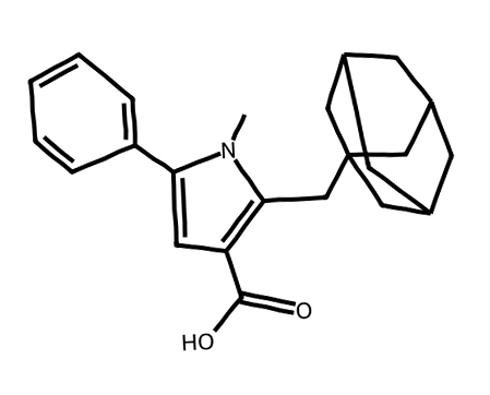 Cn1c(-c2ccccc2)cc(C(=O)O)c1CC12CC3CC(CC(C3)C1)C2